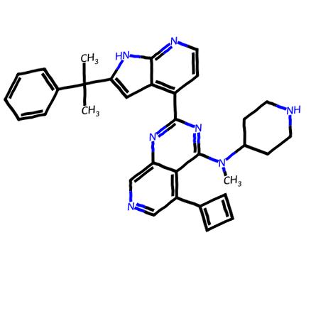 CN(c1nc(-c2ccnc3[nH]c(C(C)(C)c4ccccc4)cc23)nc2cncc(C3=CC=C3)c12)C1CCNCC1